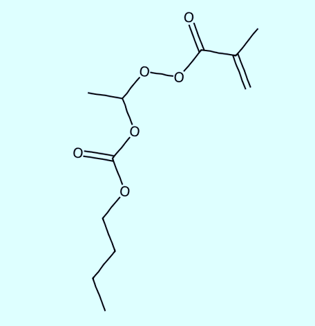 C=C(C)C(=O)OOC(C)OC(=O)OCCCC